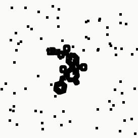 C=C1CN(Cc2ccccc2)C(=O)c2c3n(c(=O)n2C1)CCN(C(=O)OC(C)(C)C)C3